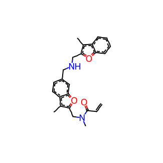 C=CC(=O)N(C)Cc1oc2cc(CNCc3oc4ccccc4c3C)ccc2c1C